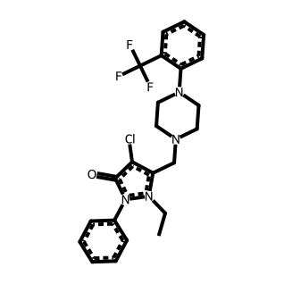 CCn1c(CN2CCN(c3ccccc3C(F)(F)F)CC2)c(Cl)c(=O)n1-c1ccccc1